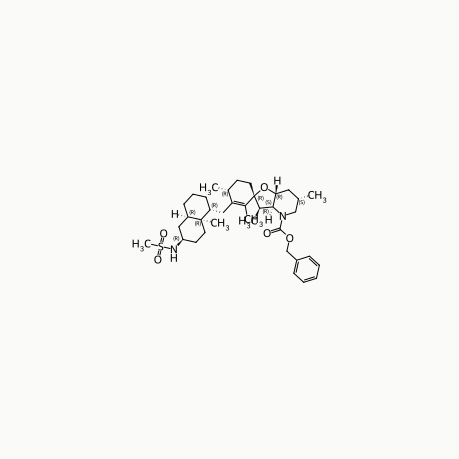 CC1=C(C[C@H]2CCC[C@@H]3C[C@H](NS(C)(=O)=O)CC[C@]23C)[C@H](C)CC[C@]12O[C@@H]1C[C@H](C)CN(C(=O)OCc3ccccc3)[C@H]1[C@H]2C